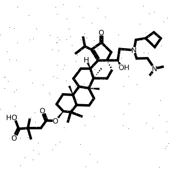 CC(C)C1=C2[C@H]3CCC4[C@@]5(C)CC[C@H](OC(=O)CC(C)(C)C(=O)O)C(C)(C)C5CC[C@@]4(C)[C@]3(C)CC[C@@]2([C@H](O)CN(CCN(C)C)CC2CCC2)CC1=O